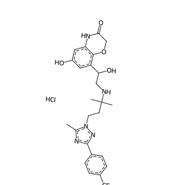 Cc1nc(-c2ccc(C(F)(F)F)cc2)nn1CCC(C)(C)NCC(O)c1cc(O)cc2c1OCC(=O)N2.Cl